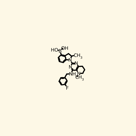 CC1Cc2c(B(O)O)cccc2N1c1nc2c(c(NCc3cccc(F)c3)n1)N(C)CCC2